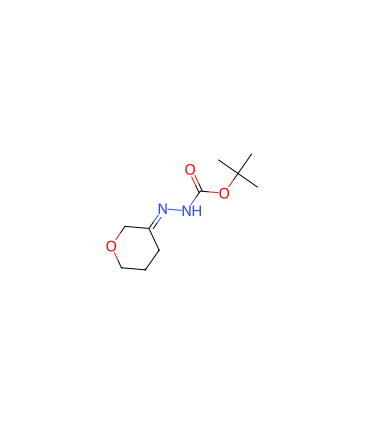 CC(C)(C)OC(=O)N/N=C1\CCCOC1